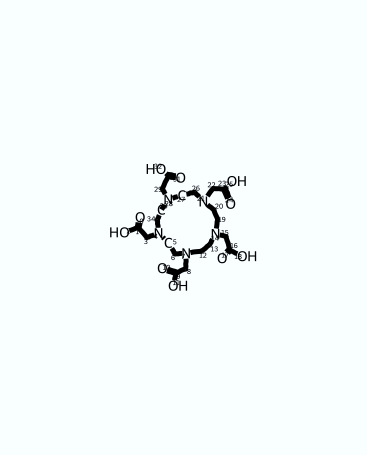 O=C(O)CN1CCN(CC(=O)O)CCN(CC(=O)O)CCN(CC(=O)O)CCN(CC(=O)O)CC1